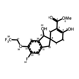 COC(=O)C1=C(O)CCC2(C1)Cc1cc(F)c(OCC(F)(F)F)cc1C2O